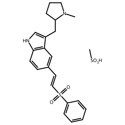 CN1CCCC1Cc1c[nH]c2ccc(C=CS(=O)(=O)c3ccccc3)cc12.CS(=O)(=O)O